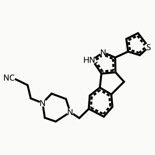 N#CCCN1CCN(Cc2ccc3c(c2)-c2[nH]nc(-c4ccsc4)c2C3)CC1